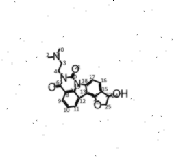 CN(C)CCn1c(=O)c2cccc3c4c5c(ccc4n(c1=O)c23)C(O)CO5